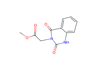 COC(=O)Cn1c(=O)[nH]c2ccccc2c1=O